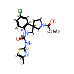 COC(=O)N1CCC2(C1)CN(C(=O)Nc1nc(C)cs1)c1ccc(Cl)cc12